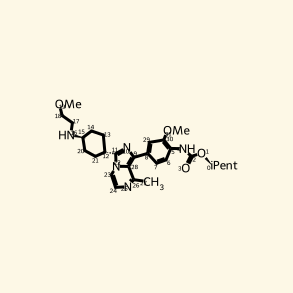 CCC[C@H](C)OC(=O)Nc1ccc(-c2nc([C@H]3CC[C@H](NCCOC)CC3)n3ccnc(C)c23)cc1OC